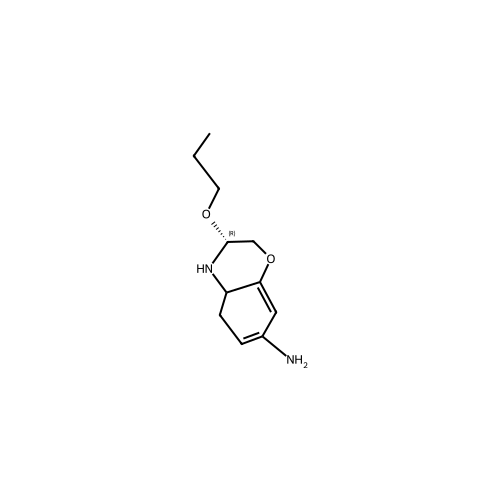 CCCO[C@@H]1COC2=CC(N)=CCC2N1